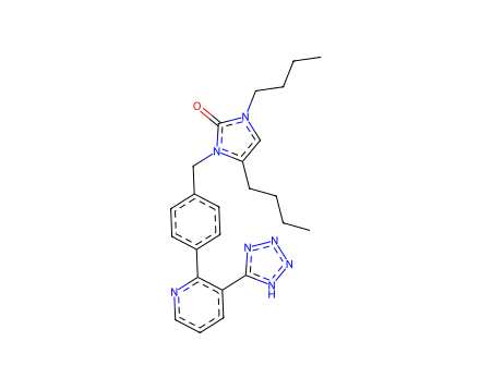 CCCCc1cn(CCCC)c(=O)n1Cc1ccc(-c2ncccc2-c2nnn[nH]2)cc1